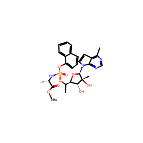 CCCCOC(=O)[C@H](C)NP(=O)(Oc1cccc2ccccc12)OC(C)[C@H]1O[C@@H](n2ccc3c(C)ncnc32)[C@](C)(O)[C@@H]1O